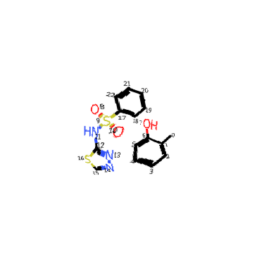 Cc1ccccc1O.O=S(=O)(Nc1nncs1)c1ccccc1